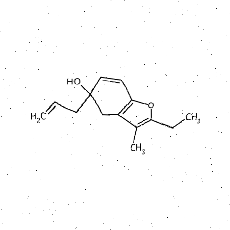 C=CCC1(O)C=Cc2oc(CC)c(C)c2C1